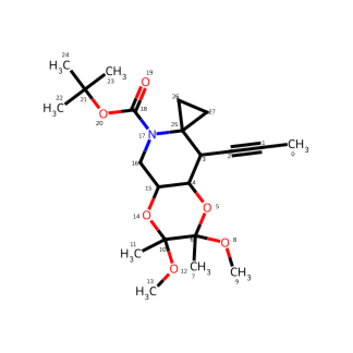 CC#CC1C2OC(C)(OC)C(C)(OC)OC2CN(C(=O)OC(C)(C)C)C12CC2